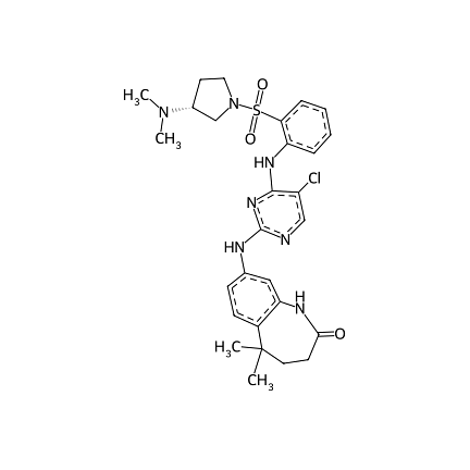 CN(C)[C@@H]1CCN(S(=O)(=O)c2ccccc2Nc2nc(Nc3ccc4c(c3)NC(=O)CCC4(C)C)ncc2Cl)C1